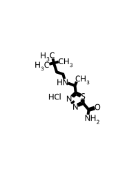 CC(NCCC(C)(C)C)c1nnc(C(N)=O)s1.Cl